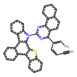 C#C/C=C\C(=C/C)c1nc(-n2c3ccccc3c3c4ccccc4c4c5ccccc5sc4c32)nc2c1ccc1ccccc12